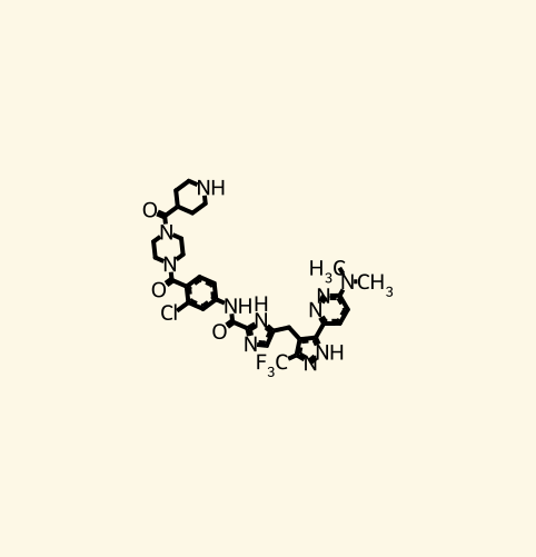 CN(C)c1ccc(-c2[nH]nc(C(F)(F)F)c2Cc2cnc(C(=O)Nc3ccc(C(=O)N4CCN(C(=O)C5CCNCC5)CC4)c(Cl)c3)[nH]2)nn1